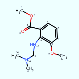 COC(=O)c1cccc(OC)c1NCN(C)C